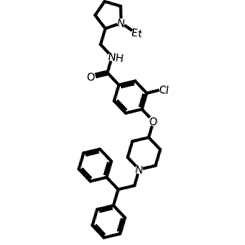 CCN1CCCC1CNC(=O)c1ccc(OC2CCN(CC(c3ccccc3)c3ccccc3)CC2)c(Cl)c1